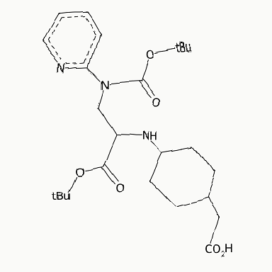 CC(C)(C)OC(=O)C(CN(C(=O)OC(C)(C)C)c1ccccn1)NC1CCC(CC(=O)O)CC1